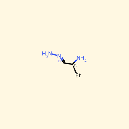 CC[C@H](N)/C=N/N